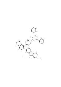 CC1(C)c2cc(C#N)ccc2-c2ccc(-c3ccc4ccccc4c3-c3ccc(C4N=C(c5ccccc5)NC(c5ccccc5)N4)cc3)cc21